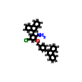 Nc1c(OCc2ccc(-c3cc4ccccc4c4ccccc34)cc2)cc(Cl)cc1-c1cc2ccccc2c2ccccc12